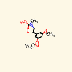 COc1cc(CCN(C)C(=O)O)cc(OC)c1